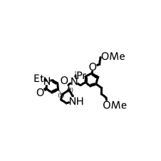 CCn1ccc([C@H]2CCNC[C@@H]2C(=O)N(Cc2cc(CCCOC)cc(OCCOC)c2)C(C)C)cc1=O